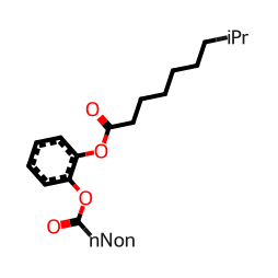 CCCCCCCCCC(=O)Oc1ccccc1OC(=O)CCCCCCC(C)C